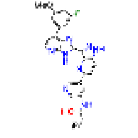 COc1cc(F)cc(-c2ccnc3[nH]c(-c4n[nH]c5ccc(-c6cncc(NC(O)CC(C)C)c6)nc45)nc23)c1